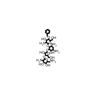 NCC1OC(OC2C(CO)OC(OC3C(O)C(N)CC(N)C3OC3OC(CO)C(OCc4ccccc4)C(O)C3N)C2O)C(N)C(O)C1O